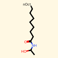 CCCCCCCCCCCCCCCC(=O)NC(C)O